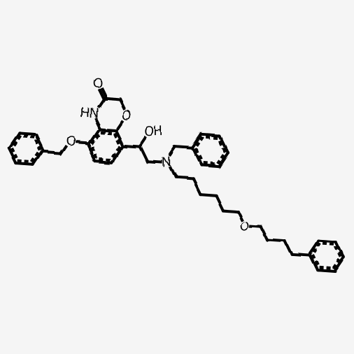 O=C1COc2c(C(O)CN(CCCCCCOCCCCc3ccccc3)Cc3ccccc3)ccc(OCc3ccccc3)c2N1